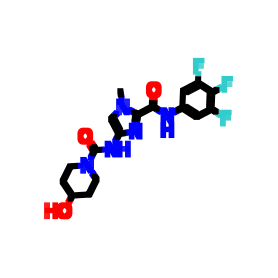 Cn1cc(NC(=O)N2CCC(O)CC2)nc1C(=O)Nc1cc(F)c(F)c(F)c1